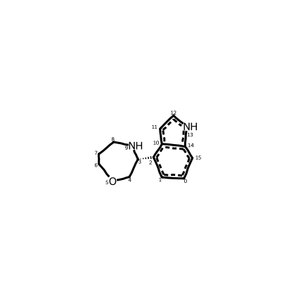 c1cc([C@@H]2COCCCN2)c2cc[nH]c2c1